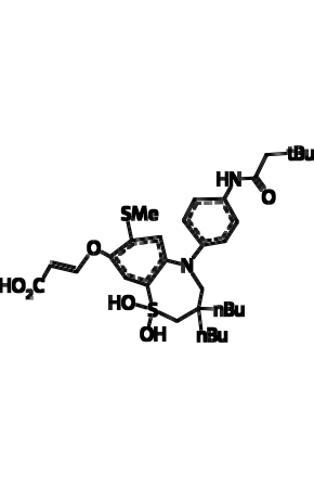 CCCCC1(CCCC)CN(c2ccc(NC(=O)CC(C)(C)C)cc2)c2cc(SC)c(OC=CC(=O)O)cc2S(O)(O)C1